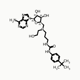 CC(C)(C)c1ccc(NC(=O)NCCCN(CCO)C[C@H]2O[C@@H](n3cnc4c(N)ncnc43)[C@H](O)[C@H]2O)cc1